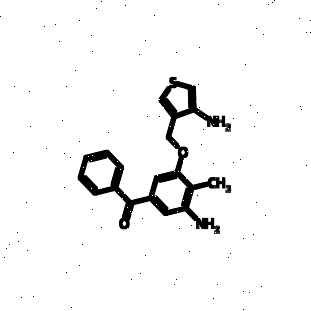 Cc1c(N)cc(C(=O)c2ccccc2)cc1OCc1cscc1N